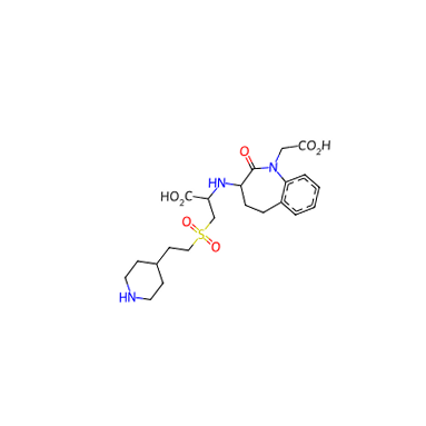 O=C(O)CN1C(=O)C(NC(CS(=O)(=O)CCC2CCNCC2)C(=O)O)CCc2ccccc21